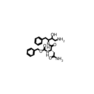 NCC(O)C(Cc1ccccc1)NC(=O)[C@H](CC(N)=O)NC(=O)OCc1ccccc1